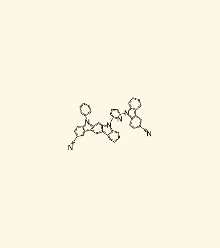 N#Cc1ccc2c(c1)c1cc3c4ccccc4n(-c4cccc(-n5c6ccccc6c6cc(C#N)ccc65)n4)c3cc1n2-c1ccccc1